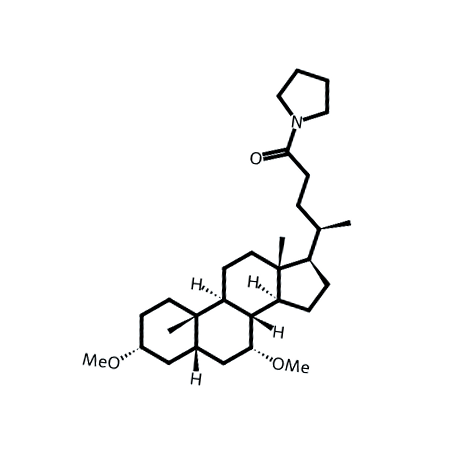 CO[C@@H]1CC[C@@]2(C)[C@@H](C1)C[C@@H](OC)[C@@H]1[C@@H]2CC[C@]2(C)[C@@H]([C@H](C)CCC(=O)N3CCCC3)CC[C@@H]12